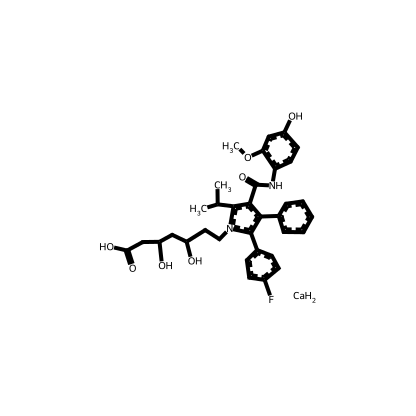 COc1cc(O)ccc1NC(=O)c1c(-c2ccccc2)c(-c2ccc(F)cc2)n(CCC(O)CC(O)CC(=O)O)c1C(C)C.[CaH2]